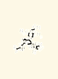 C[C@H]1CN(c2cc(S(=O)(=O)NC3(C)COC3)cn3c(-c4nnc(C(F)F)s4)ncc23)C[C@H](C)N1CCO